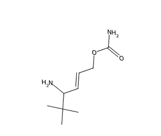 CC(C)(C)C(N)C=CCOC(N)=O